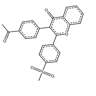 CC(=O)c1ccc(-c2c(-c3ccc(S(C)(=O)=O)cc3)oc3ccccc3c2=O)cc1